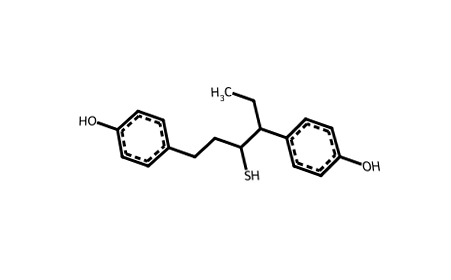 CCC(c1ccc(O)cc1)C(S)CCc1ccc(O)cc1